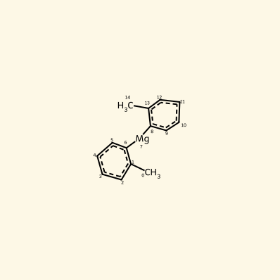 Cc1cccc[c]1[Mg][c]1ccccc1C